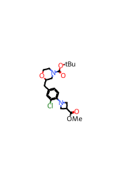 COC(=O)C1CN(c2ccc(CC3CN(C(=O)OC(C)(C)C)CCO3)cc2Cl)C1